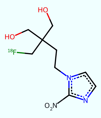 O=[N+]([O-])c1nccn1CCC(CO)(CO)C[18F]